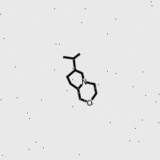 CC(C)C1CCC2COCCN2C1